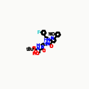 CC(C)(C)OC(=O)N[C@H](CO)C(=O)N1CC[C@@H]1CNC(=O)c1ccc(-c2ccccc2C#N)nc1NCCc1cccc(F)c1